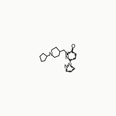 O=c1ccc(-n2cccn2)nn1CC1CCN(C2CCCC2)CC1